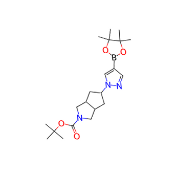 CC(C)(C)OC(=O)N1CC2CC(n3cc(B4OC(C)(C)C(C)(C)O4)cn3)CC2C1